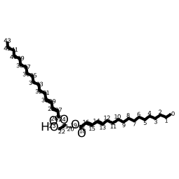 CCCCCCCCCCCCCC=CC=CC(=O)OC[C@H](CO)OC(=O)C=CC=CCCCCCCCCCCCCC